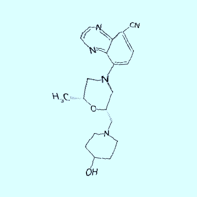 C[C@@H]1CN(c2ccc(C#N)c3nccnc23)C[C@H](CN2CCC(O)CC2)O1